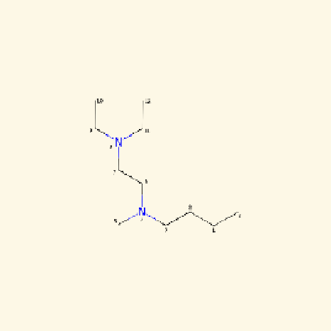 CCCCN(C)CCN(CC)CC